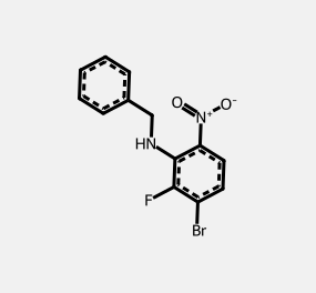 O=[N+]([O-])c1ccc(Br)c(F)c1NCc1ccccc1